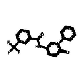 O=C(Nc1ccc(=O)n(-c2ccccc2)c1)c1cccc(C(F)(F)F)c1